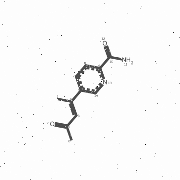 CC(=O)C=C(C)c1ccc(C(N)=O)nc1